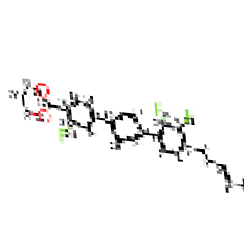 CC/C=C/CCc1ccc(-c2ccc(-c3ccc(C4OCCCO4)c(F)c3)cc2)c(F)c1F